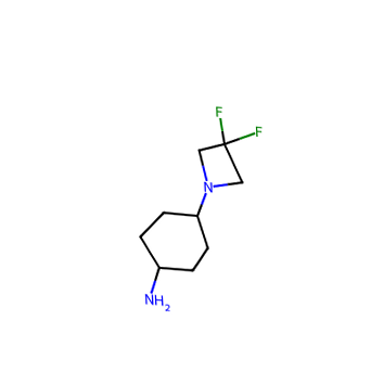 NC1CCC(N2CC(F)(F)C2)CC1